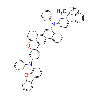 CC1(C)c2ccccc2-c2ccc(N(c3ccccc3)c3cc4c5cccc6c5c(cc4c4ccccc34)-c3ccc(N(c4ccccc4)c4cccc5c4oc4ccccc45)cc3O6)cc21